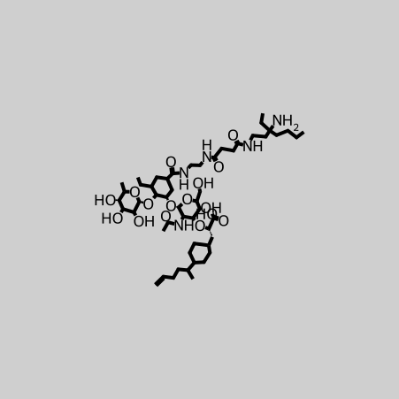 C=CCCC(C)C1CCC(C[C@H](OC2C(NC(C)=O)[C@H](O[C@@H]3CC(C(=O)NCCNC(=O)CCC(=O)NCCC(N)(CC)CCCC)CC(CC)C3O[C@@H]3OC(C)[C@@H](O)C(O)C3O)OC(CO)[C@@H]2O)C(=O)O)CC1